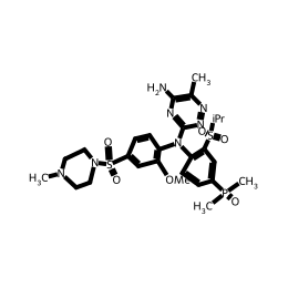 COc1cc(S(=O)(=O)N2CCN(C)CC2)ccc1N(c1nnc(C)c(N)n1)c1ccc(P(C)(C)=O)cc1S(=O)(=O)C(C)C